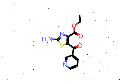 CCOC(=O)c1nc(N)sc1C(=O)c1cccnc1